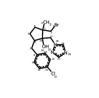 CC1(CBr)CCC(Cc2ccc(Cl)cc2)C1(O)Cn1cncn1